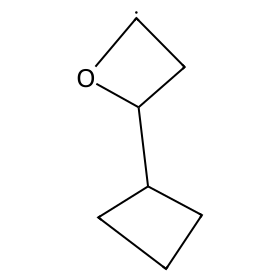 [CH]1CC(C2CCC2)O1